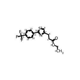 CCOC(=O)CCc1csc(-c2ccc(C(F)(F)F)cc2)n1